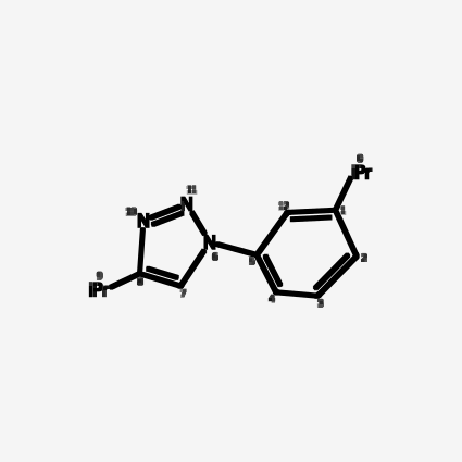 CC(C)c1cccc(-n2cc(C(C)C)nn2)c1